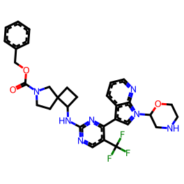 O=C(OCc1ccccc1)N1CCC2(CCC2Nc2ncc(C(F)(F)F)c(-c3cn(C4CNCCO4)c4ncccc34)n2)C1